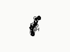 O=C(C(=O)N1CCN(C(=O)c2ccccc2)CC1)c1c[nH]c2c(-c3nc4ccccc4o3)ccc(F)c12